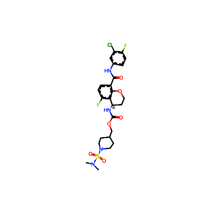 CN(C)S(=O)(=O)N1CCC(COC(=O)N[C@H]2CCOc3c(C(=O)Nc4ccc(F)c(Cl)c4)ccc(F)c32)CC1